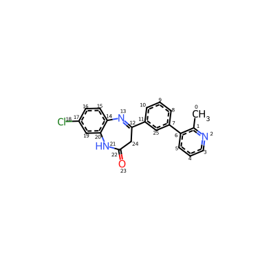 Cc1ncccc1-c1cccc(C2=Nc3ccc(Cl)cc3NC(=O)C2)c1